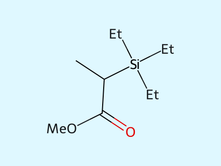 CC[Si](CC)(CC)C(C)C(=O)OC